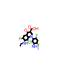 CCNc1c(F)cc2c(=O)c(C(=O)O)cn(-c3cc(N)c(F)cc3F)c2c1Cl